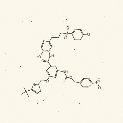 CC(C)(C)c1csc(COc2cc(NC(=O)OCc3ccc([N+](=O)[O-])cc3)cc(C(=O)Nc3cc(CCCS(=O)(=O)c4ccc(Cl)cc4)ccc3O)c2)n1